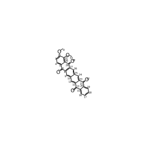 COc1ccc2c(=O)c3cc4cc5c(=O)c6ccccc6c(=O)c5cc4cc3c(=O)c2c1OC